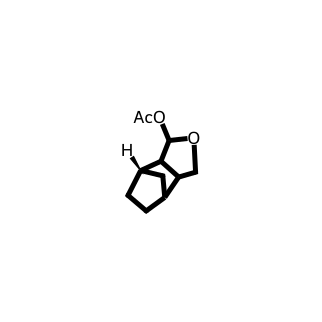 CC(=O)OC1OCC2C3CC[C@@H](C3)C12